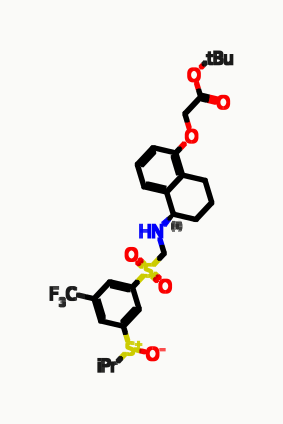 CC(C)[S+]([O-])c1cc(C(F)(F)F)cc(S(=O)(=O)CN[C@@H]2CCCc3c(OCC(=O)OC(C)(C)C)cccc32)c1